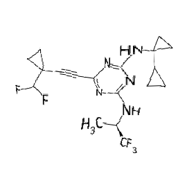 C[C@@H](Nc1nc(C#CC2(C(F)F)CC2)nc(NC2(C3CC3)CC2)n1)C(F)(F)F